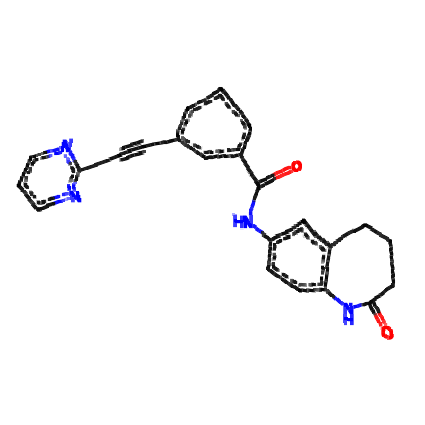 O=C1CCCc2cc(NC(=O)c3cccc(C#Cc4ncccn4)c3)ccc2N1